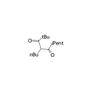 CCCCC(C(=O)C(C)CCC)C(=O)C(C)(C)C